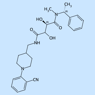 C[C@H](c1ccccc1)N(C)C(=O)[C@H](O)C(O)C(=O)NCC1CCN(c2ccccc2C#N)CC1